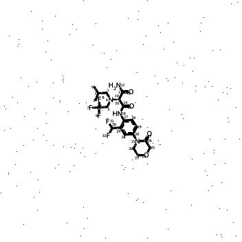 CC(C)CN(CC(F)(F)F)[C@@H](C(N)=O)C(=O)Nc1ccc(N2CCOCC2=O)cc1C(F)F